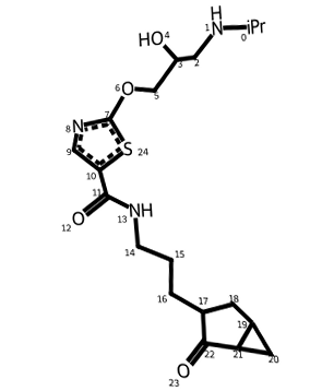 CC(C)NCC(O)COc1ncc(C(=O)NCCCC2CC3CC3C2=O)s1